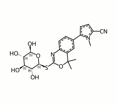 Cn1c(C#N)ccc1-c1ccc2c(c1)C(C)(C)OC(S[C@@H]1O[C@H](O)[C@@H](O)[C@H](O)[C@H]1O)=N2